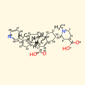 CN1CCC(C(=O)O)CC1[C@H]1CC[C@@]2(C)C(=CC[C@@H]3[C@@H]2CC[C@]2(C)C(c4cccnc4)=CC[C@@H]32)C1.O=CO